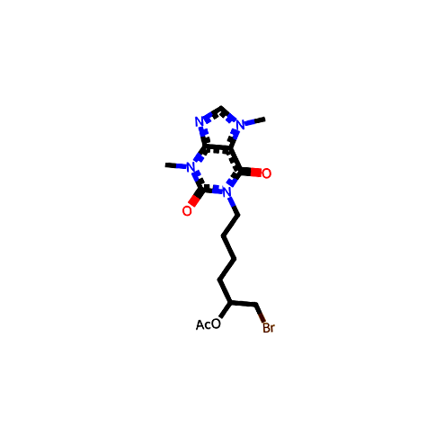 CC(=O)OC(CBr)CCCCn1c(=O)c2c(ncn2C)n(C)c1=O